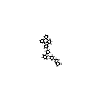 c1ccc2c(c1)-c1ccccc1-n1c3ccc(-c4ccc5c(c4)c4ccccc4n5-c4ccc(-c5ccc6ccccc6c5)cc4)cc3c3cccc-2c31